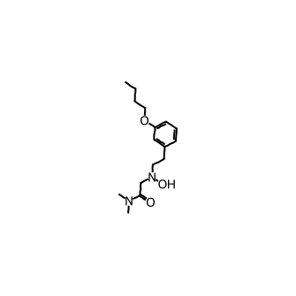 CCCCOc1cccc(CCN(O)CC(=O)N(C)C)c1